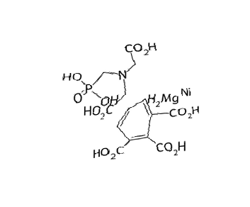 O=C(O)CN(CC(=O)O)CP(=O)(O)O.O=C(O)c1cccc(C(=O)O)c1C(=O)O.[MgH2].[Ni]